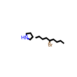 C1CCNC1.CCCCC(Br)CCCC